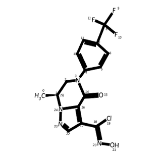 C[C@H]1CN(c2ccc(C(F)(F)F)cc2)C(=O)c2c(C(Cl)=NO)cnn21